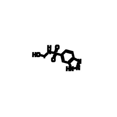 O=S(=O)(N[CH]O)c1ccc2nn[nH]c2c1